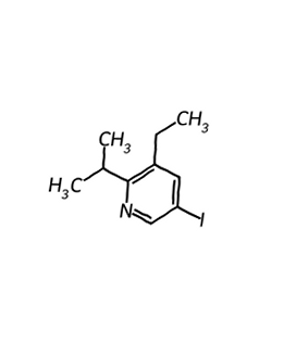 CCc1cc(I)cnc1C(C)C